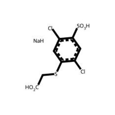 O=C(O)CSc1cc(Cl)c(S(=O)(=O)O)cc1Cl.[NaH]